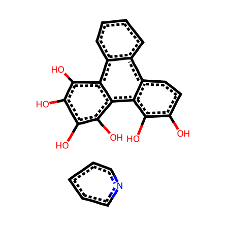 Oc1ccc2c3ccccc3c3c(O)c(O)c(O)c(O)c3c2c1O.c1ccncc1